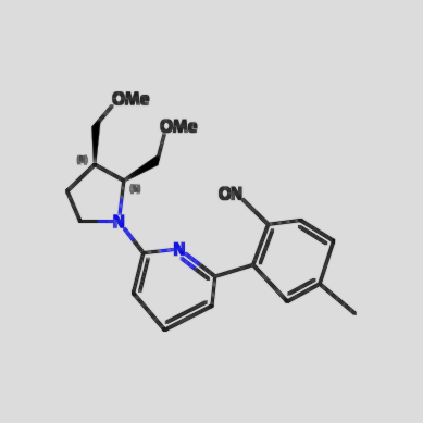 COC[C@@H]1CCN(c2cccc(-c3cc(C)ccc3N=O)n2)[C@@H]1COC